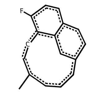 Cc1cccc2ccc3ccc(F)c(cc1)c3c2